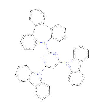 c1ccc2c(c1)-c1ccccc1N(c1nc(-n3c4ccccc4c4ccccc43)cc(-n3c4ccccc4c4ccccc43)n1)c1ccccc1-2